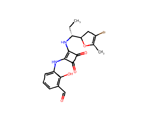 CC[C@@H](Nc1c(Nc2cccc(C=O)c2O)c(=O)c1=O)C1CC(Br)=C(C)O1